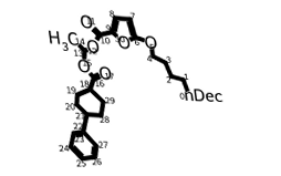 CCCCCCCCCCCCCCOc1ccc(C(=O)OC(C)OC(=O)C2CCC(c3ccccc3)CC2)o1